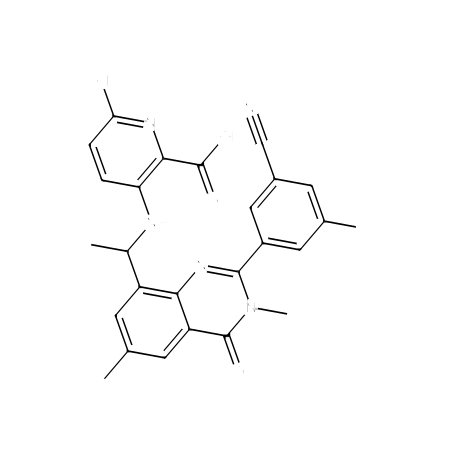 Cc1cc(C(C)Nc2ccc(Cl)nc2C(=O)O)c2nc(-c3cc(F)cc(C#N)c3)n(C)c(=O)c2c1